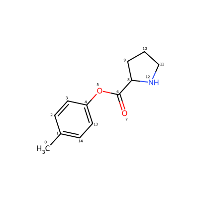 Cc1ccc(OC(=O)C2CCCN2)cc1